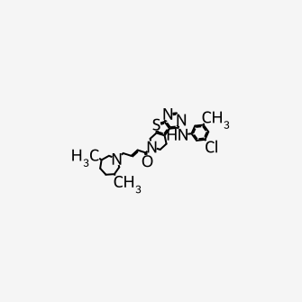 Cc1cc(Cl)cc(Nc2ncnc3sc4c(c23)CCN(C(=O)/C=C/CN2CC(C)CCC(C)C2)C4)c1